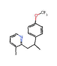 Cc1cccnc1CC(C)c1ccc(OC(F)(F)F)cc1